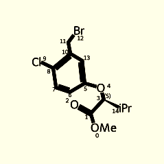 COC(=O)[C@@H](Oc1ccc(Cl)c(CBr)c1)C(C)C